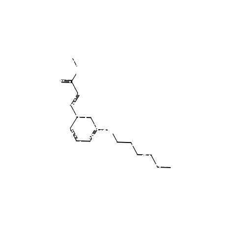 CCCCCCOC1=CC=CC(C=CC(=O)OC)C1